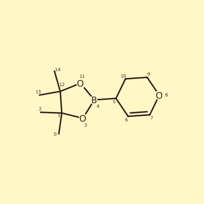 CC1(C)OB(C2C=COCC2)OC1(C)C